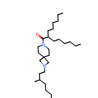 CCCCCCC(CCCCCC)C(=O)N1CCC2(CC1)CN(CCC(C)CCCC)C2